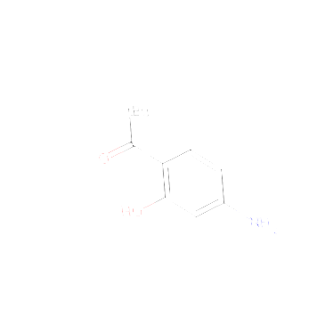 CC(C)(C)C(=O)c1ccc(N)cc1O